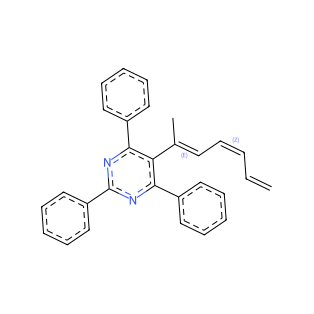 C=C/C=C\C=C(/C)c1c(-c2ccccc2)nc(-c2ccccc2)nc1-c1ccccc1